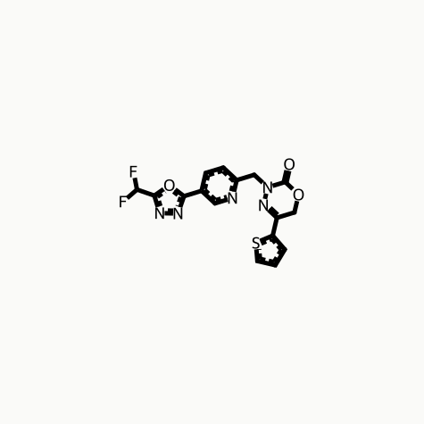 O=C1OCC(c2cccs2)=NN1Cc1ccc(-c2nnc(C(F)F)o2)cn1